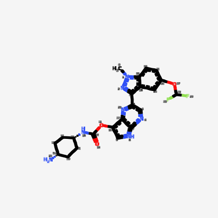 Cn1nc(-c2cnc3[nH]cc(OC(=O)N[C@H]4CC[C@@H](N)CC4)c3n2)c2cc(OC(F)F)ccc21